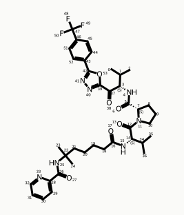 CC(C)[C@H](NC(=O)[C@@H]1CCCN1C(=O)[C@@H](NC(=O)CCCCC(C)(C)NC(=O)c1ccccn1)C(C)C)C(=O)c1nnc(-c2ccc(C(F)(F)F)cc2)o1